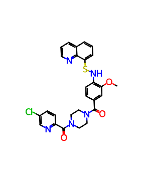 COc1cc(C(=O)N2CCN(C(=O)c3ccc(Cl)cn3)CC2)ccc1NSc1cccc2cccnc12